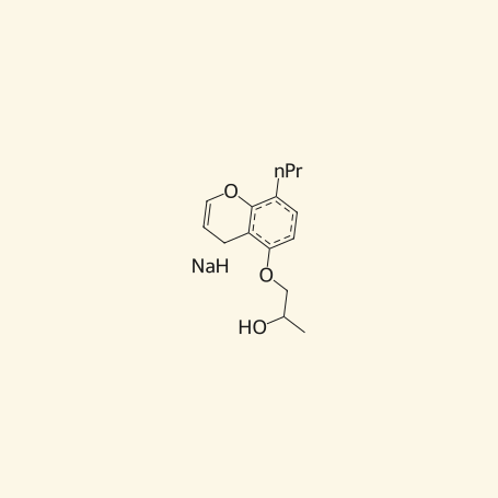 CCCc1ccc(OCC(C)O)c2c1OC=CC2.[NaH]